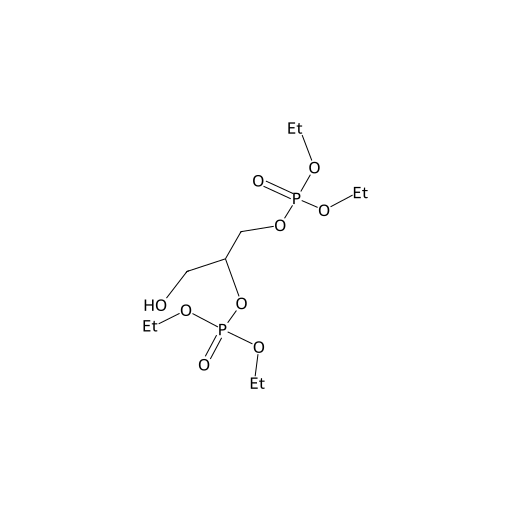 CCOP(=O)(OCC)OCC(CO)OP(=O)(OCC)OCC